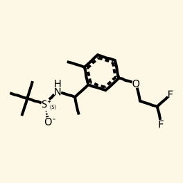 Cc1ccc(OCC(F)F)cc1C(C)N[S@+]([O-])C(C)(C)C